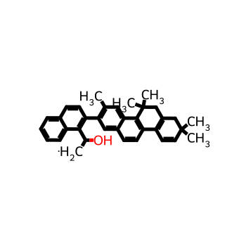 [CH2]C(O)c1c(-c2cc3ccc4c(c3cc2C)C(C)(C)CC2=C4C=CC(C)(C)C2)ccc2ccccc12